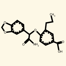 CCCc1cc(C(=O)O)ccc1OC(C(N)=O)c1ccc2c(c1)OCO2